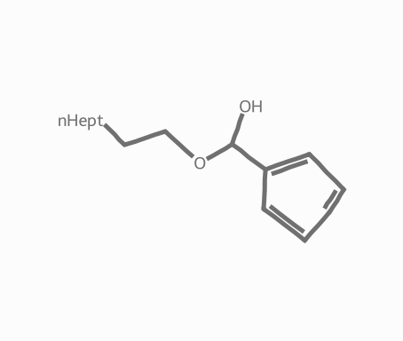 CCCCCCCCCOC(O)c1ccccc1